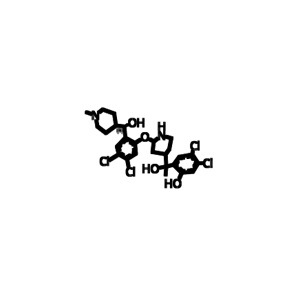 CN1CCC([C@@H](O)c2cc(Cl)c(Cl)cc2OC2CC(C(C)(O)c3cc(Cl)c(Cl)cc3O)CCN2)CC1